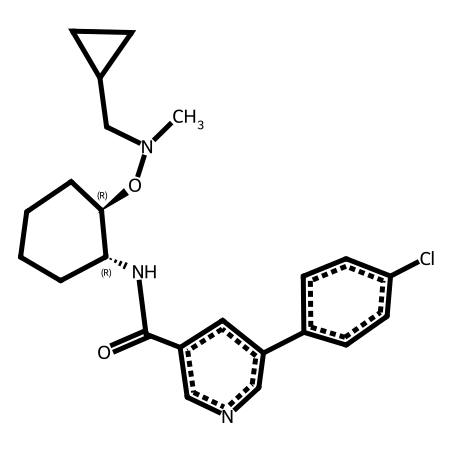 CN(CC1CC1)O[C@@H]1CCCC[C@H]1NC(=O)c1cncc(-c2ccc(Cl)cc2)c1